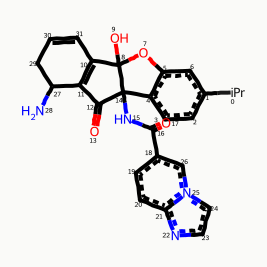 CC(C)c1ccc2c(c1)OC1(O)C3=C(C(=O)C21NC(=O)c1ccc2nccn2c1)C(N)CC=C3